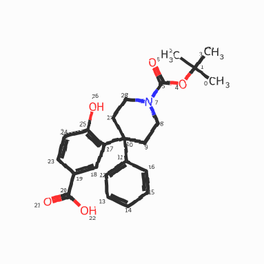 CC(C)(C)OC(=O)N1CCC(c2ccccc2)(c2cc(C(=O)O)ccc2O)CC1